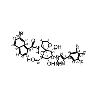 O=C(N[C@@H]1CCO[C@]12O[C@H](CO)[C@H](O)[C@H](n1cc(-c3cc(F)c(F)c(F)c3)nn1)[C@H]2O)c1cccc2ccc(Br)cc12